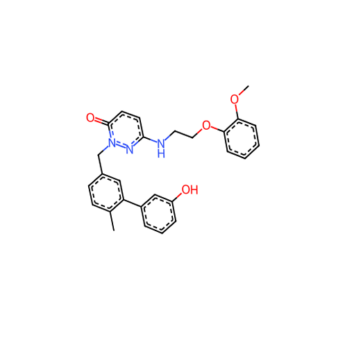 COc1ccccc1OCCNc1ccc(=O)n(Cc2ccc(C)c(-c3cccc(O)c3)c2)n1